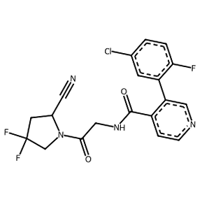 N#CC1CC(F)(F)CN1C(=O)CNC(=O)c1ccncc1-c1cc(Cl)ccc1F